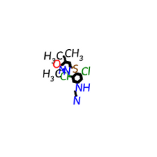 CC(C)c1cc(Sc2c(Cl)cc(NCC#N)cc2Cl)nn(C)c1=O